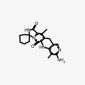 Cc1c(N)ncc2c1Nc1c(c(C)c3n(c1=O)C1(CCCCC1)NC3=O)C2